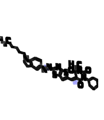 CCCCCN1CCc2cc(/N=N/c3nc4sc(/C=C5\C(=O)N(C)C(=O)N(C6CCCCC6)C5=O)cc4s3)ccc21